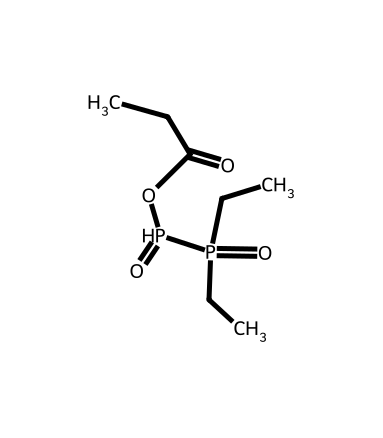 CCC(=O)O[PH](=O)P(=O)(CC)CC